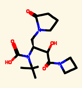 CC(C)(C)N(C(=O)O)[C@@H](CN1CCCC1=O)C(O)C(=O)N1CCC1